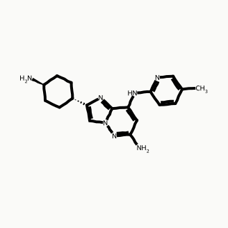 Cc1ccc(Nc2cc(N)nn3cc([C@H]4CC[C@H](N)CC4)nc23)nc1